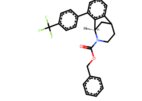 O=C(OCc1ccccc1)N1CCC2C[C@@H]1c1c(-c3ccc(C(F)(F)F)cc3)cccc12